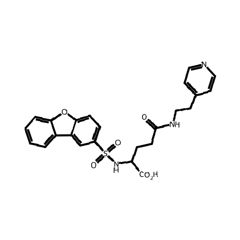 O=C(CCC(NS(=O)(=O)c1ccc2oc3ccccc3c2c1)C(=O)O)NCCc1ccncc1